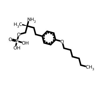 CCCCCCOc1ccc(CC[C@@](C)(N)COP(=O)(O)O)cc1